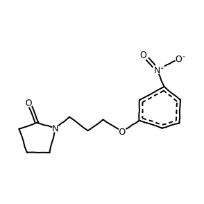 O=C1CCCN1CCCOc1cccc([N+](=O)[O-])c1